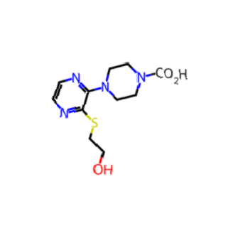 O=C(O)N1CCN(c2nccnc2SCCO)CC1